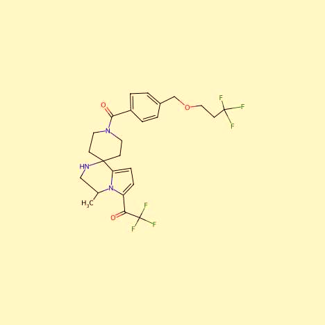 CC1CNC2(CCN(C(=O)c3ccc(COCCC(F)(F)F)cc3)CC2)c2ccc(C(=O)C(F)(F)F)n21